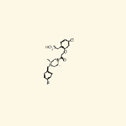 C[C@@H]1CN(Cc2ccc(F)cc2)[C@@H](C)CN1C(=O)COc1cc(Cl)ccc1CS(=O)(=O)O